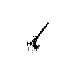 C#CC(CC)(COC(=O)CCCCCCCCCCCCCCCCCCC)[C@@H](O)Cn1cnc2c(N)nc(F)nc21